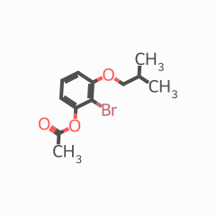 CC(=O)Oc1cccc(OCC(C)C)c1Br